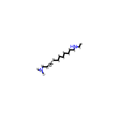 CCNCCCCCCCCCCCCN(C)C